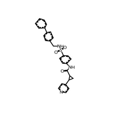 O=C(Nc1ccc(S(=O)(=O)NCc2ccc(-c3ccccc3)cc2)cc1)C1CC1c1ccncc1